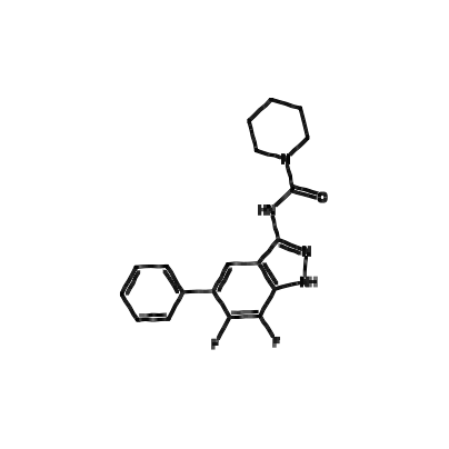 O=C(Nc1n[nH]c2c(F)c(F)c(-c3ccccc3)cc12)N1CCCCC1